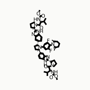 COC(=O)N[C@H](C(=O)N1CCC[C@H]1c1nc2cc([C@H]3CC[C@H](c4ccc5[nH]c([C@@H]6CCCN6C(=O)[C@@H](NC(=O)OC)C(C)C)nc5c4)N3c3cc(F)c(N4[C@H](C)CCC[C@@H]4C)c(F)c3)ccc2[nH]1)C(C)C